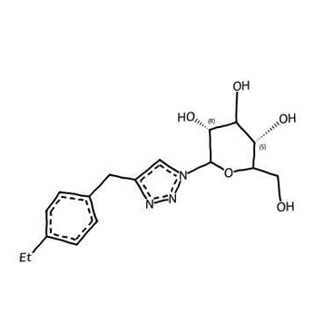 CCc1ccc(Cc2cn(C3OC(CO)[C@@H](O)C(O)[C@H]3O)nn2)cc1